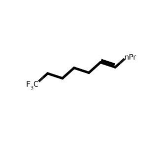 [CH2]CCC=CCCCCC(F)(F)F